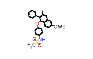 COc1ccc2c(Oc3ccc(NS(=O)(=O)C(F)(F)F)cc3)c(-c3ccccc3)c(C)cc2c1